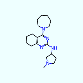 CN1CCC(Nc2nc3c(c(N4CCCCCC4)n2)CCCC3)C1